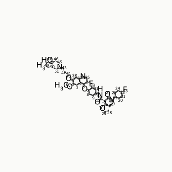 COc1cc2c(Oc3ccc(NC(=O)c4c5c(cn(-c6ccc(F)cc6)c4=O)CCO5)cc3F)ccnc2cc1OCCCN1CCC(C)(O)CC1